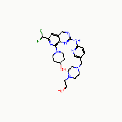 OCCN1CCN(Cc2ccc(Nc3ncc4cc(C(F)F)nc(N5CCC(O)CC5)c4n3)nc2)CC1